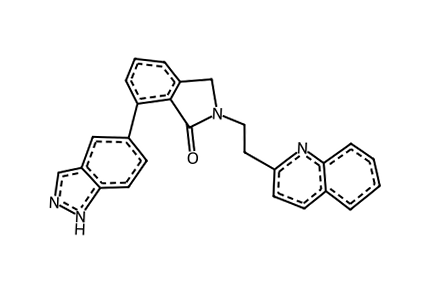 O=C1c2c(cccc2-c2ccc3[nH]ncc3c2)CN1CCc1ccc2ccccc2n1